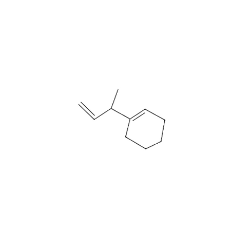 C=CC(C)C1=CCCCC1